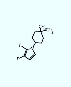 CC1(C)CCC(n2ccc(F)c2F)CC1